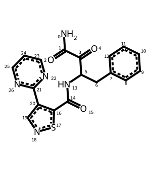 NC(=O)C(=O)C(Cc1ccccc1)NC(=O)c1sncc1-c1ncccn1